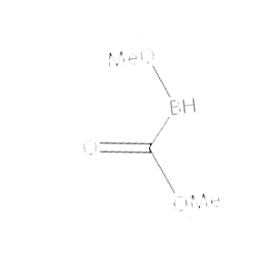 COBC(=O)OC